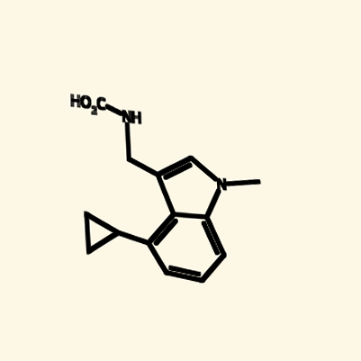 Cn1cc(CNC(=O)O)c2c(C3CC3)cccc21